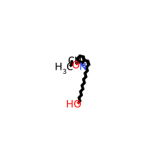 CC(C)Oc1cccc2ccc(CCCCCCCCCCCO)nc12